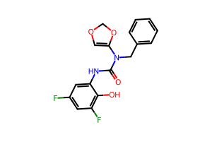 O=C(Nc1cc(F)cc(F)c1O)N(Cc1ccccc1)C1=COCO1